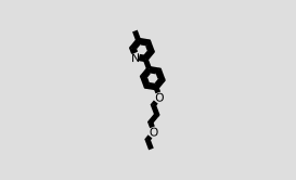 CCOCCCOc1ccc(-c2ccc(C)cn2)cc1